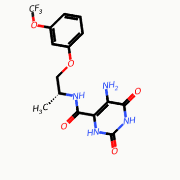 C[C@H](COc1cccc(OC(F)(F)F)c1)NC(=O)c1[nH]c(=O)[nH]c(=O)c1N